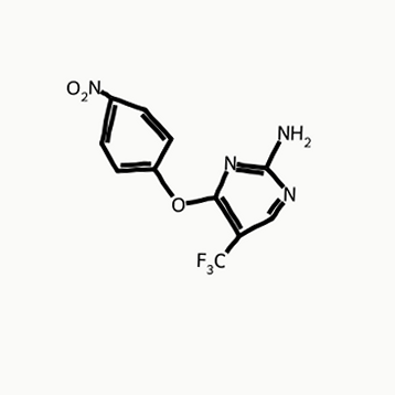 Nc1ncc(C(F)(F)F)c(Oc2ccc([N+](=O)[O-])cc2)n1